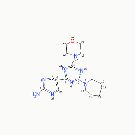 Nc1ncc(-c2nc(N3CCCCCC3)nc(N3CCOCC3)n2)cn1